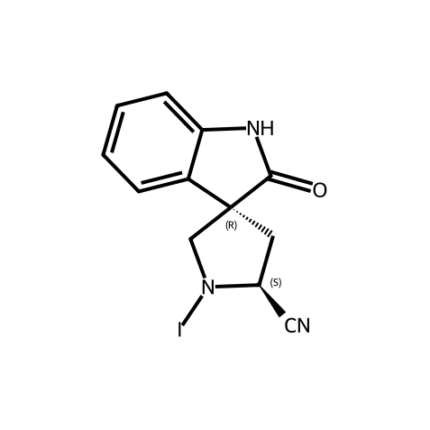 N#C[C@@H]1C[C@@]2(CN1I)C(=O)Nc1ccccc12